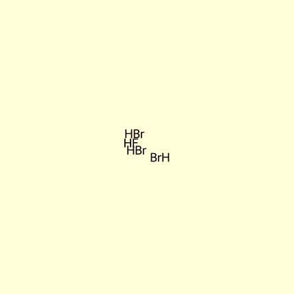 Br.Br.Br.F